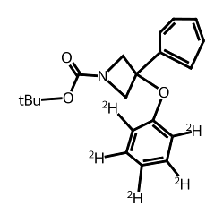 [2H]c1c([2H])c([2H])c(OC2(c3ccccc3)CN(C(=O)OC(C)(C)C)C2)c([2H])c1[2H]